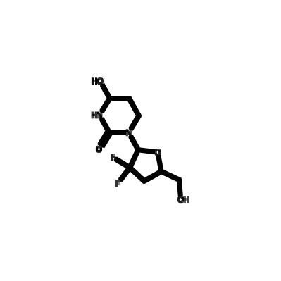 O=C1NC(O)CCN1C1OC(CO)CC1(F)F